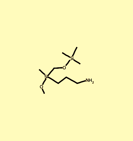 CO[Si](C)(CCCN)CO[Si](C)(C)C